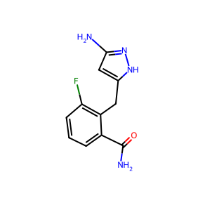 NC(=O)c1cccc(F)c1Cc1cc(N)n[nH]1